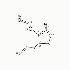 C=CCc1cc[nH]c1OC=O